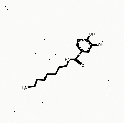 CCCCCCCCNC(=O)c1ccc(O)c(O)c1